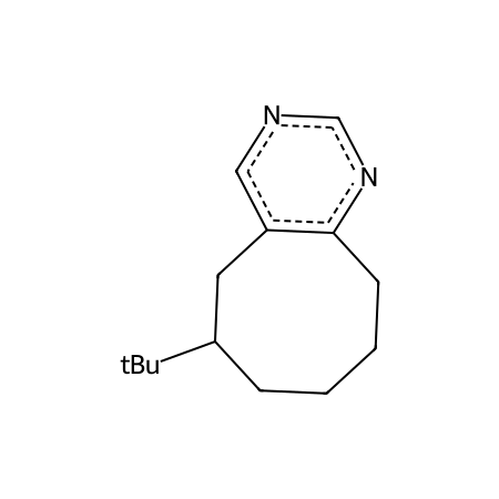 CC(C)(C)C1CCCCc2ncncc2C1